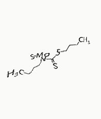 CCCCSC(=S)[N](CCCC)[Mo]=[S]